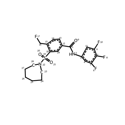 O=C(Nc1cc(F)c(F)c(F)c1)c1ccc(CF)c(S(=O)(=O)N2CCCCCC2)c1